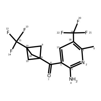 Cc1nc(N)c(C(=O)C23CC(C(F)(F)F)(C2)C3)cc1C(F)(F)F